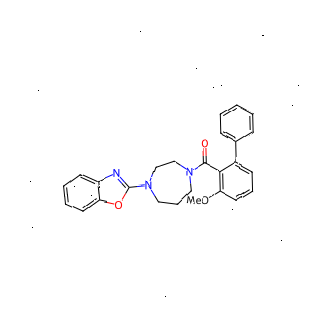 COc1cccc(-c2ccccc2)c1C(=O)N1CCCN(c2nc3ccccc3o2)CC1